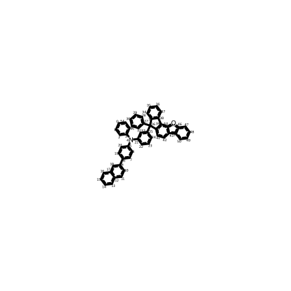 c1ccc(N(c2ccc(-c3ccc4ccccc4c3)cc2)c2cccc(C3(c4ccccc4)c4ccccc4-c4c3ccc3c4oc4ccccc43)c2)cc1